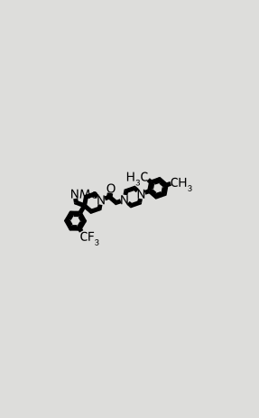 CNCC1(c2cccc(C(F)(F)F)c2)CCN(C(=O)CN2CCN(c3ccc(C)cc3C)CC2)CC1